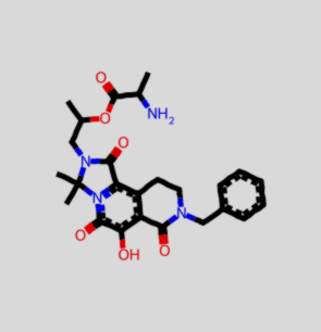 CC(CN1C(=O)c2c3c(c(O)c(=O)n2C1(C)C)C(=O)N(Cc1ccccc1)CC3)OC(=O)C(C)N